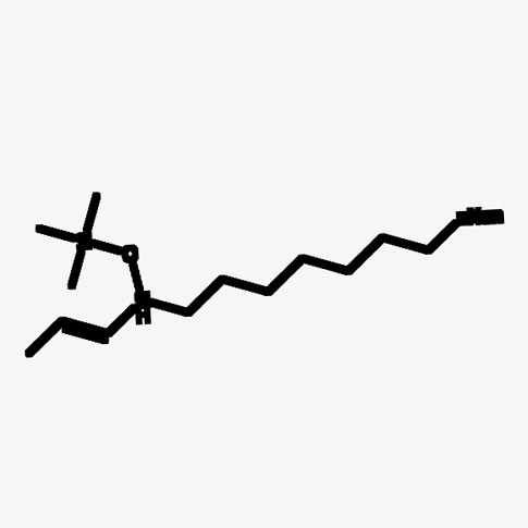 CC=C[SiH](CCCCCCCCCCCCCCCC)O[Si](C)(C)C